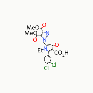 CCn1c(Cn2cnc(C(=O)OC)c2C(=O)OC)cc(=O)c(C(=O)O)c1-c1ccc(Cl)c(Cl)c1